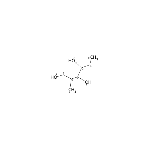 CC[C@@H](O)C(O)C(C)CO